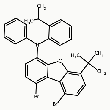 CC(C)c1ccccc1N(c1ccccc1)c1ccc(Br)c2c1oc1c(C(C)(C)C)ccc(Br)c12